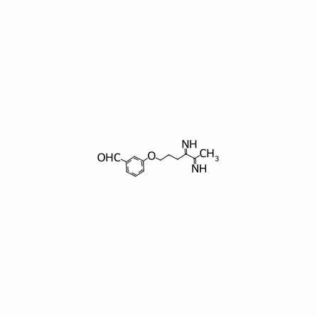 CC(=N)C(=N)CCCOc1cccc(C=O)c1